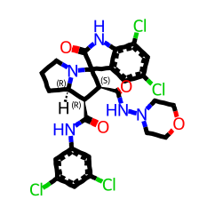 O=C(Nc1cc(Cl)cc(Cl)c1)[C@H]1[C@H]2CCCN2C2(C(=O)Nc3c(Cl)cc(Cl)cc32)[C@H]1C(=O)NN1CCOCC1